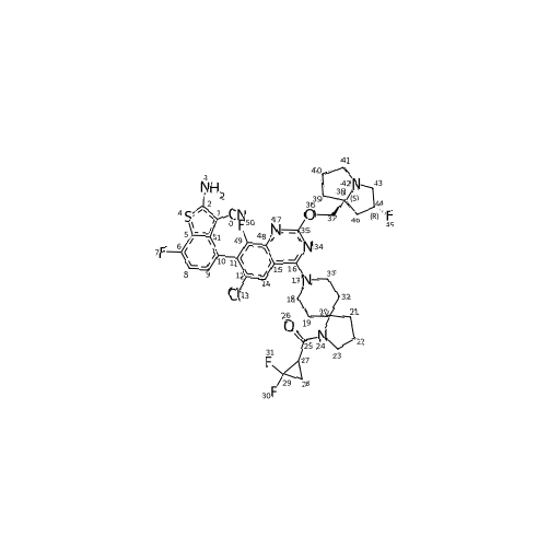 N#Cc1c(N)sc2c(F)ccc(-c3c(Cl)cc4c(N5CCC6(CCCN6C(=O)C6CC6(F)F)CC5)nc(OC[C@@]56CCCN5C[C@H](F)C6)nc4c3F)c12